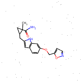 CC1(C(N)=O)CC1Cc1cc2ccc(OCc3ccno3)cc2[nH]1